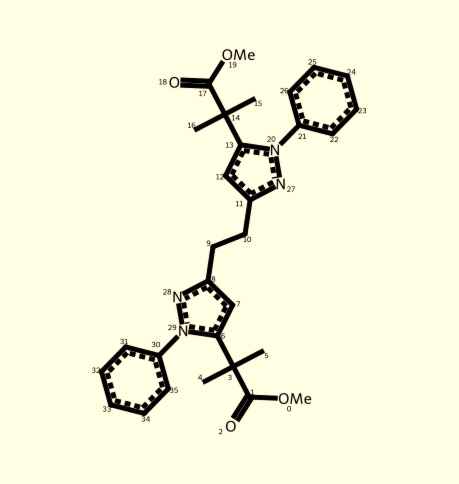 COC(=O)C(C)(C)c1cc(CCc2cc(C(C)(C)C(=O)OC)n(-c3ccccc3)n2)nn1-c1ccccc1